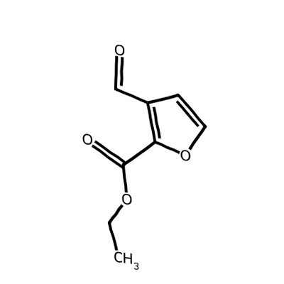 CCOC(=O)c1occc1C=O